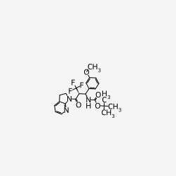 COc1cccc([C@@H](NC(=O)OC(C)(C)C)[C@@H](C(=O)N2CCc3cccnc32)C(F)(F)F)c1